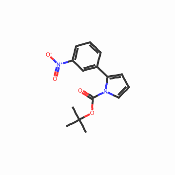 CC(C)(C)OC(=O)n1cccc1-c1cccc([N+](=O)[O-])c1